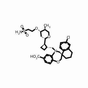 C[C@H]1CO[C@H]([C@@H]2CC[C@H]2CN2C[C@@]3(CCCc4cc(Cl)ccc43)COc3ccc(C(=O)O)cc32)C[C@@H]1OCCS(N)(=O)=O